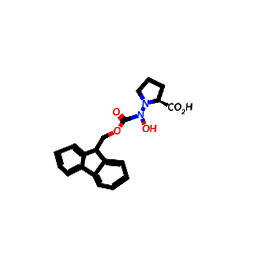 O=C(O)[C@@H]1CCCN1N(O)C(=O)OCC1c2ccccc2-c2ccccc21